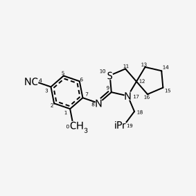 Cc1cc(C#N)ccc1N=C1SCC2(CCCC2)N1CC(C)C